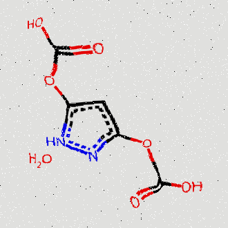 O.O=C(O)Oc1cc(OC(=O)O)[nH]n1